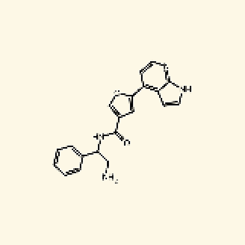 NCC(NC(=O)c1coc(-c2ccnc3[nH]ccc23)c1)c1ccccc1